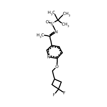 C/C(=N\[S+]([O-])C(C)(C)C)c1ccc(OCC2CC(F)(F)C2)nc1